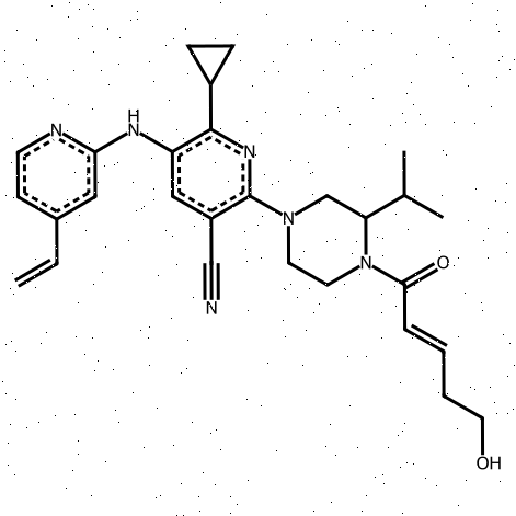 C=Cc1ccnc(Nc2cc(C#N)c(N3CCN(C(=O)C=CCCO)C(C(C)C)C3)nc2C2CC2)c1